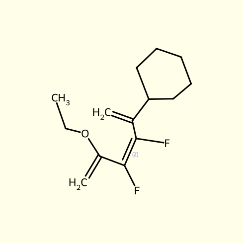 C=C(OCC)/C(F)=C(/F)C(=C)C1CCCCC1